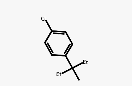 CCC(C)(CC)c1ccc(Cl)cc1